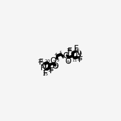 O=C(OC/C=C\COC(=O)c1cc(F)nc(F)c1F)c1cc(F)nc(F)c1F